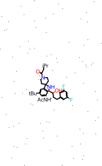 CC(=O)N[C@@H](Cc1cc(F)cc(F)c1)[C@H](O)CNC1(c2cccc(C(C)(C)C)c2)CCN(C(=O)CC(C)C)CC1